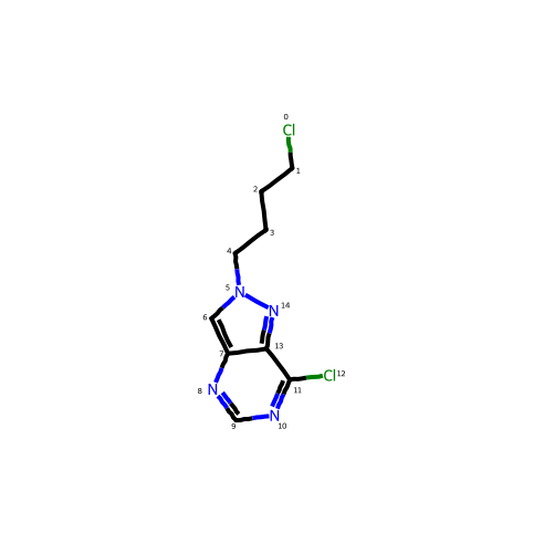 ClCCCCn1cc2ncnc(Cl)c2n1